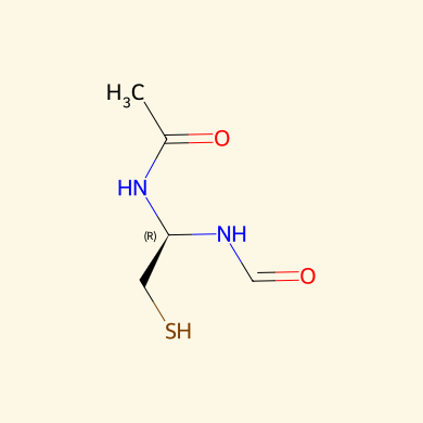 CC(=O)N[C@H](CS)NC=O